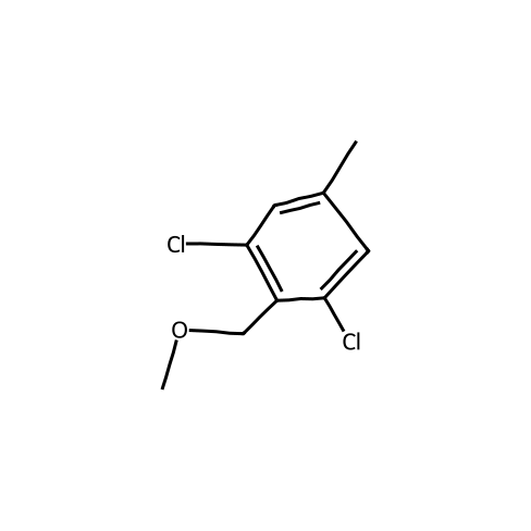 COCc1c(Cl)cc(C)cc1Cl